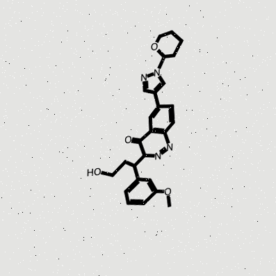 COc1cccc(C(CCO)C2N=Nc3ccc(-c4cnn(C5CCCCO5)c4)cc3C2=O)c1